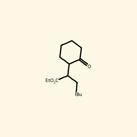 CCOC(=O)C(CC(C)(C)C)C1CCCCC1=O